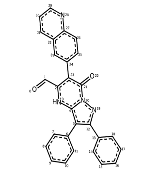 O=Cc1[nH]c2c(-c3ccccc3)c(-c3ccccc3)nn2c(=O)c1-c1ccc2ncccc2c1